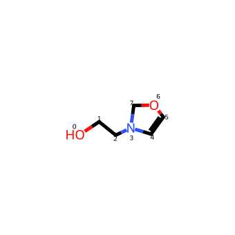 OCCN1C=COC1